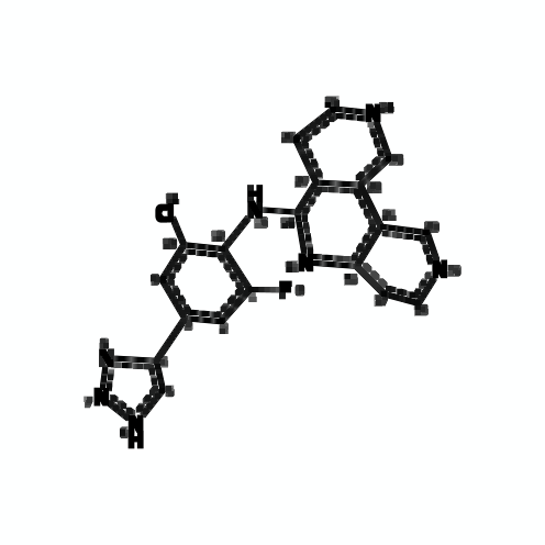 Fc1cc(-c2c[nH]nn2)cc(Cl)c1Nc1nc2ccncc2c2cnccc12